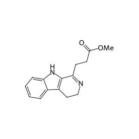 COC(=O)CCC1=NCCc2c1[nH]c1ccccc21